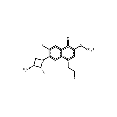 C[C@@H]1[C@@H](N)CN1c1nc2c(cc1F)c(=O)c(OC(=O)O)cn2CCF